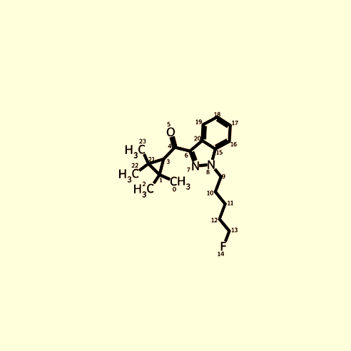 CC1(C)C(C(=O)c2nn(CCCCCF)c3ccccc23)C1(C)C